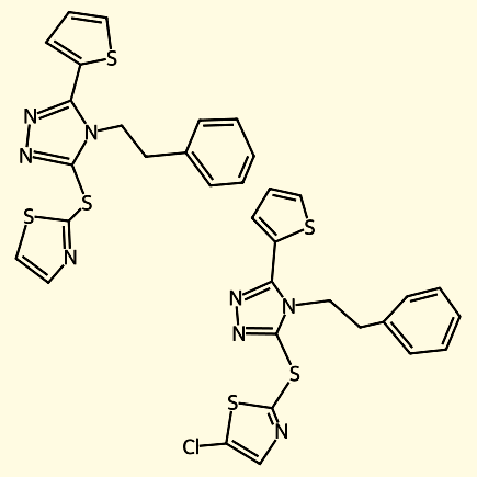 Clc1cnc(Sc2nnc(-c3cccs3)n2CCc2ccccc2)s1.c1ccc(CCn2c(Sc3nccs3)nnc2-c2cccs2)cc1